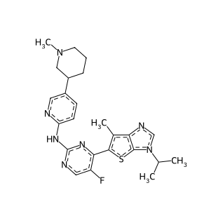 Cc1c(-c2nc(Nc3ccc(C4CCCN(C)C4)cn3)ncc2F)sc2c1ncn2C(C)C